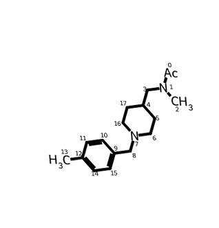 CC(=O)N(C)CC1CCN(Cc2ccc(C)cc2)CC1